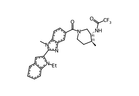 CCn1c(-c2nc3cc(C(=O)N4CC[C@H](C)[C@@H](NC(=O)C(F)(F)F)C4)ccc3n2C)cc2ccccc21